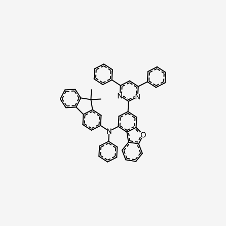 CC1(C)c2ccccc2-c2ccc(N(c3ccccc3)c3cc(-c4nc(-c5ccccc5)cc(-c5ccccc5)n4)cc4oc5ccccc5c34)cc21